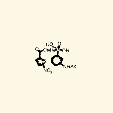 CC(=O)Nc1cccc([As](=O)(O)OO)c1.COC(=O)c1ccc([N+](=O)[O-])s1